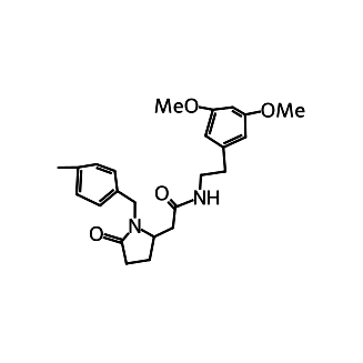 COc1cc(CCNC(=O)CC2CCC(=O)N2Cc2ccc(C)cc2)cc(OC)c1